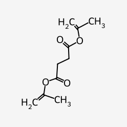 C=C(C)OC(=O)CCC(=O)OC(=C)C